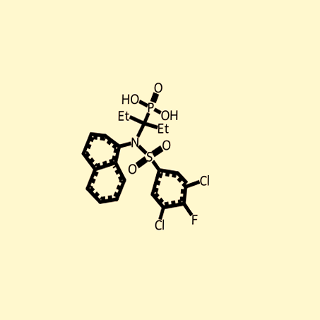 CCC(CC)(N(c1cccc2ccccc12)S(=O)(=O)c1cc(Cl)c(F)c(Cl)c1)P(=O)(O)O